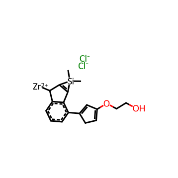 C[Si]1(C)C2=C1[CH]([Zr+2])c1cccc(C3=CC(OCCO)=CC3)c12.[Cl-].[Cl-]